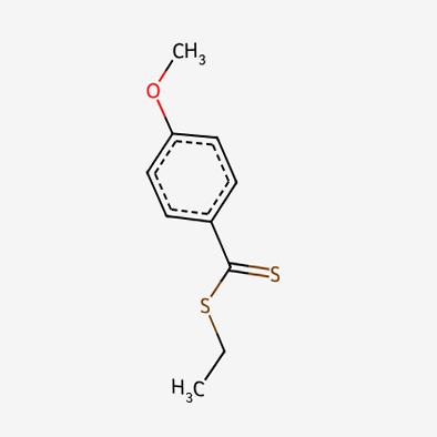 CCSC(=S)c1ccc(OC)cc1